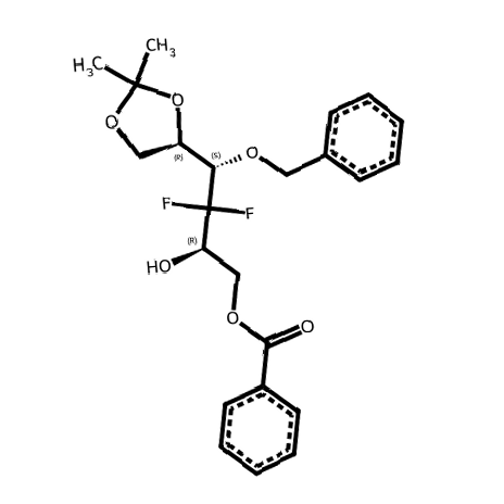 CC1(C)OC[C@H]([C@H](OCc2ccccc2)C(F)(F)[C@H](O)COC(=O)c2ccccc2)O1